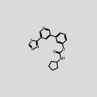 O=C(NC1CCCC1)Oc1cccc(-c2cncc(-c3nncs3)c2)c1